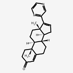 C[C@]12CCC(=O)C=C1CC[C@@H]1[C@@H]2CC[C@]2(C)C(c3cnccn3)=CC[C@@H]12